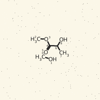 CO.COC(=O)C(C)O